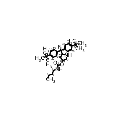 CCCCNC(=O)O[C@@H]1CNC(C(F)(c2ccc(C(C)(C)C)cc2)c2ccc(C(C)(C)C)cc2)C1